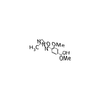 COc1cc(C(O)OC)ccc1-c1nn2c(C)ncc2o1